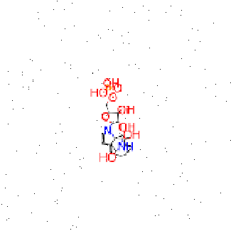 O=P(O)(O)OCC1OC(N2C=CC34CCCCCCC23C(O)NC4O)C(O)C1O